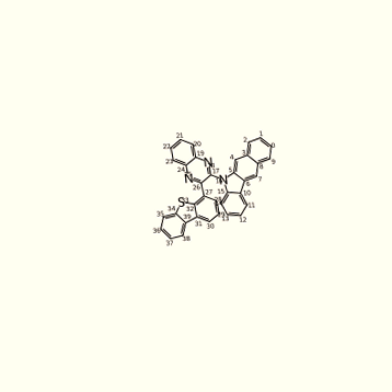 c1ccc2cc3c(cc2c1)c1ccccc1n3-c1nc2ccccc2nc1-c1cccc2c1sc1ccccc12